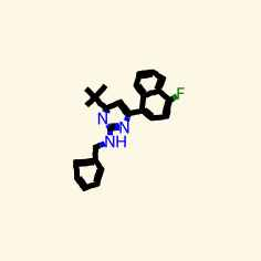 CC(C)(C)c1cc(-c2ccc(F)c3ccccc23)nc(NCc2ccccc2)n1